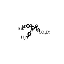 CCON=C=C1C=CC(Oc2cc(OCc3ccc(CN)cc3)cc(C(=O)N3CCN(C(=O)OCC)CC3)c2)C=C1